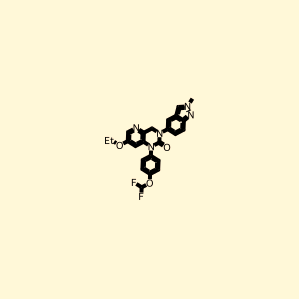 CCOc1cnc2c(c1)N(c1ccc(OC(F)F)cc1)C(=O)N(c1ccc3nn(C)cc3c1)C2